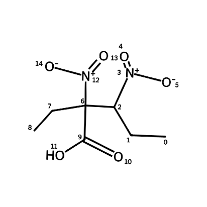 CCC([N+](=O)[O-])C(CC)(C(=O)O)[N+](=O)[O-]